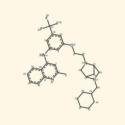 Cc1cc(Nc2cc(OCCN3CC4CC3CN4CC3CCCCC3)cc(C(F)(F)F)c2)c2ccccc2n1